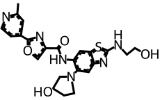 Cc1cc(-c2nc(C(=O)Nc3cc4sc(NCCO)nc4cc3N3CCC(O)C3)co2)ccn1